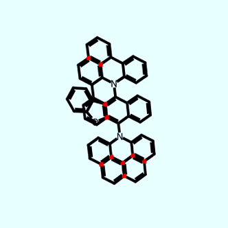 c1ccc(-c2ccccc2N(c2ccccc2-c2ccccc2)c2c3ccccc3c(N(c3ccccc3-c3ccccc3)c3ccccc3-c3ccccc3)c3c2oc2ccccc23)cc1